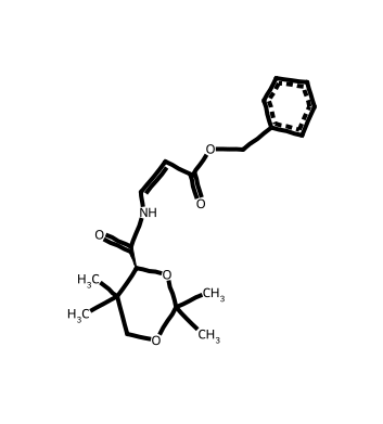 CC1(C)OCC(C)(C)[C@@H](C(=O)N/C=C\C(=O)OCc2ccccc2)O1